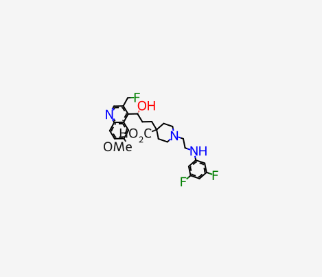 COc1ccc2ncc(CF)c([C@H](O)CCC3(C(=O)O)CCN(CCNc4cc(F)cc(F)c4)CC3)c2c1